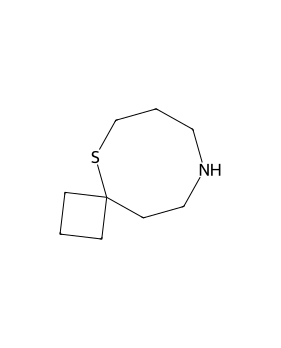 C1CNCCC2(CCC2)SC1